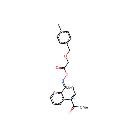 CO/C=C(/C(=O)OC)c1ccccc1C=NOC(=O)COCc1ccc(C)cc1